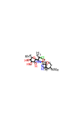 CNC1CCO[C@@H]2[C@H](CN[C@@H]2C(=O)N[C@@H]([C@H]2OC(SC)[C@H](O)C(O)[C@@H]2O)[C@H](C)Cl)C1